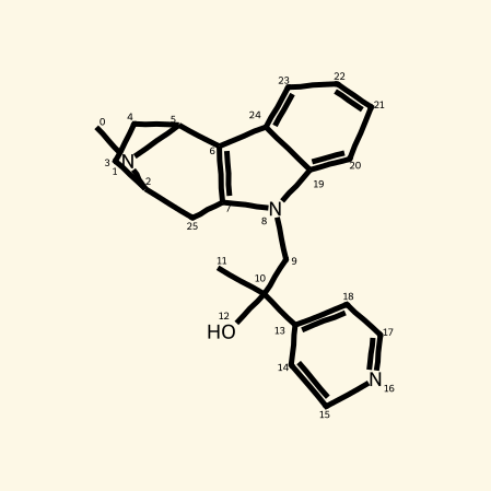 CN1C2CCC1c1c(n(CC(C)(O)c3ccncc3)c3ccccc13)C2